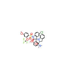 COc1ccc(S(=O)(=O)N2C(=O)C(c3ccccc3OC)(N3c4ccccc4C[C@H]3C(=O)N(C)C)c3cc(Cl)ccc32)c(OC(F)(F)F)c1